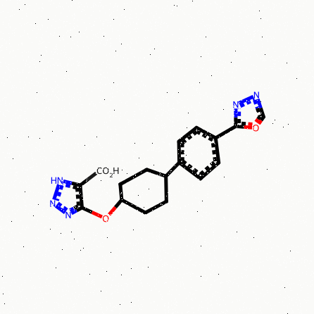 O=C(O)c1[nH]nnc1OC1CCC(c2ccc(-c3nnco3)cc2)CC1